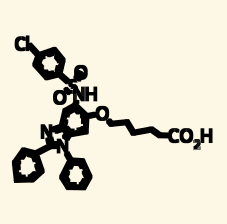 O=C(O)CCCCCOc1cc2c(cc1NS(=O)(=O)c1ccc(Cl)cc1)nc(-c1ccccc1)n2-c1ccccc1